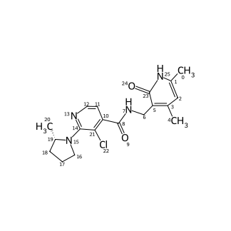 Cc1cc(C)c(CNC(=O)c2ccnc(N3CCC[C@@H]3C)c2Cl)c(=O)[nH]1